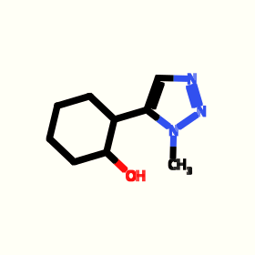 Cn1nncc1C1CCCCC1O